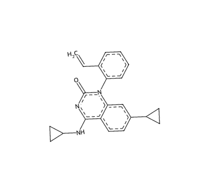 C=Cc1ccccc1-n1c(=O)nc(NC2CC2)c2ccc(C3CC3)cc21